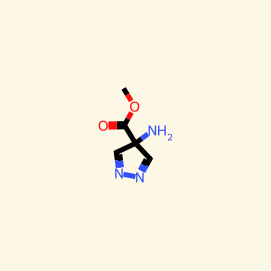 COC(=O)C1(N)C=NN=C1